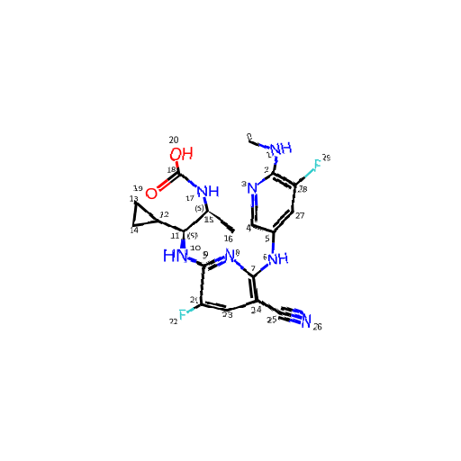 CNc1ncc(Nc2nc(N[C@@H](C3CC3)[C@H](C)NC(=O)O)c(F)cc2C#N)cc1F